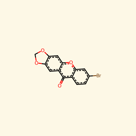 O=c1c2ccc(Br)cc2oc2cc3c(cc12)OCO3